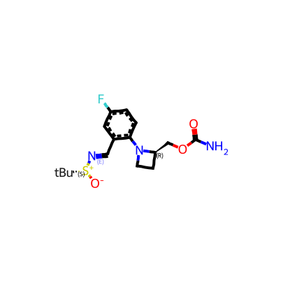 CC(C)(C)[S@@+]([O-])/N=C/c1cc(F)ccc1N1CC[C@@H]1COC(N)=O